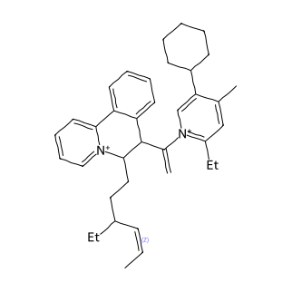 C=C(C1c2ccccc2-c2cccc[n+]2C1CCC(/C=C\C)CC)[n+]1cc(C2CCCCC2)c(C)cc1CC